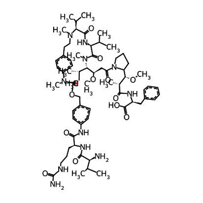 CC[C@H](C)[C@@H]([C@@H](CC(=O)N1CCCC1[C@H](OC)[C@@H](C)C(=O)N[C@@H](Cc1ccccc1)C(=O)O)OC)N(C)C(=O)[C@@H](NC(=O)[C@H](C(C)C)N(C)CCc1ccc(N(C)C(=O)OCc2ccc(NC(=O)[C@H](CCCNC(N)=O)NC(=O)[C@@H](N)C(C)C)cc2)cc1)C(C)C